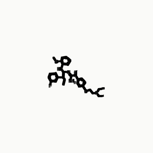 C=C/C(=C(\N=C(/N)Nc1ccc(OCCN(CC)CC)cc1)Nc1ccccc1OC)c1cccc(F)c1